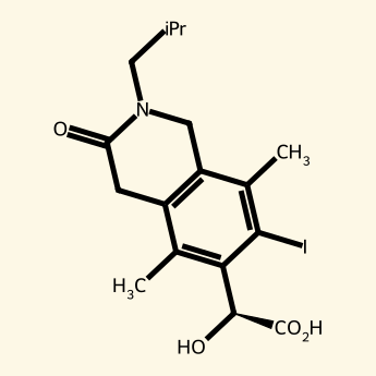 Cc1c(I)c([C@H](O)C(=O)O)c(C)c2c1CN(CC(C)C)C(=O)C2